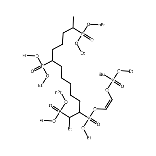 CCCOP(=O)(OCC)C(C)CCCC(CCCCCC(C(CC)P(=O)(OCC)OCCC)P(=O)(O/C=C\OP(=O)(OCC)C(C)CC)OCC)P(=O)(OCC)OCC